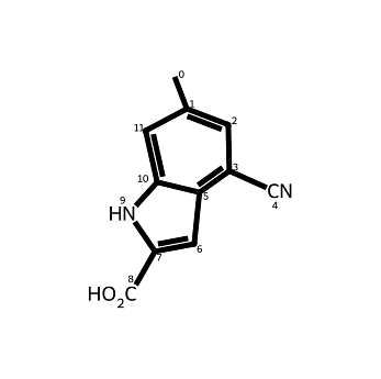 Cc1cc(C#N)c2cc(C(=O)O)[nH]c2c1